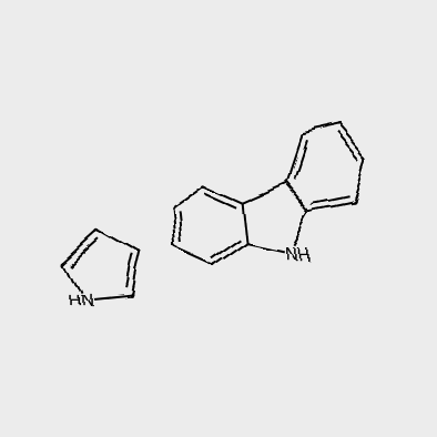 c1cc[nH]c1.c1ccc2c(c1)[nH]c1ccccc12